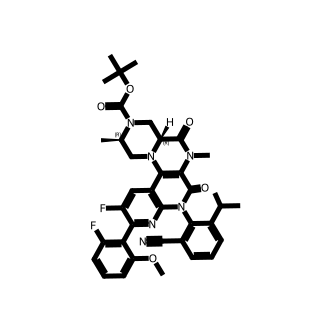 COc1cccc(F)c1-c1nc2c(cc1F)c1c(c(=O)n2-c2c(C#N)cccc2C(C)C)N(C)C(=O)[C@H]2CN(C(=O)OC(C)(C)C)[C@H](C)CN12